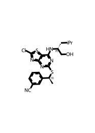 CC(C)C[C@H](CO)Nc1nc(S[C@@H](C)c2cccc(C#N)c2)nc2nc(Cl)sc12